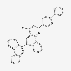 Clc1cc(-c2ccc(-c3ccccn3)cc2)nc2c1cc(-c1cc3ccccc3c3ccccc13)c1ccccc12